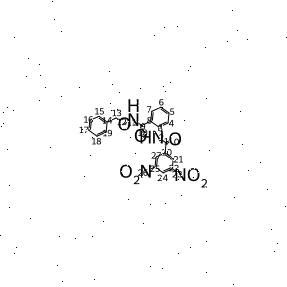 O=C(Nc1ccccc1C(=O)NOCc1ccccc1)c1cc([N+](=O)[O-])cc([N+](=O)[O-])c1